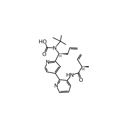 C=CC[C@@H](c1cc(-c2ncccc2NC(=O)[C@H](C)C=C)ccn1)N(C(=O)O)C(C)(C)C